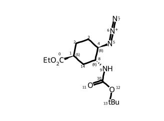 CCOC(=O)[C@H]1CC[C@@H](N=[N+]=[N-])[C@H](NC(=O)OC(C)(C)C)C1